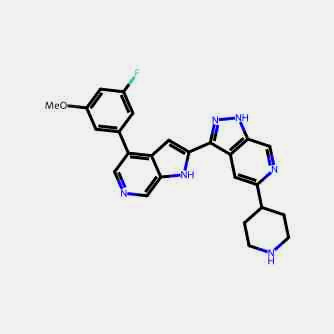 COc1cc(F)cc(-c2cncc3[nH]c(-c4n[nH]c5cnc(C6CCNCC6)cc45)cc23)c1